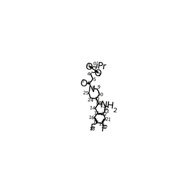 CC(C)S(=O)(=O)CCC(=O)N1CCC([C@H](N)Cc2cc(F)c(F)cc2F)CC1